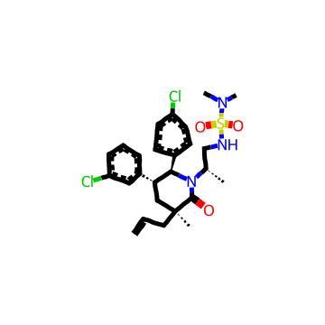 C=CC[C@@]1(C)C[C@H](c2cccc(Cl)c2)[C@@H](c2ccc(Cl)cc2)N([C@@H](C)CNS(=O)(=O)N(C)C)C1=O